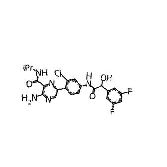 CC(C)NC(=O)c1nc(-c2ccc(NC(=O)C(O)c3cc(F)cc(F)c3)cc2Cl)cnc1N